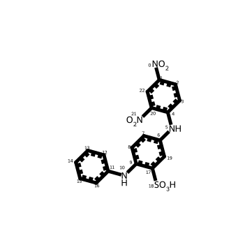 O=[N+]([O-])c1ccc(Nc2ccc(Nc3ccccc3)c(S(=O)(=O)O)c2)c([N+](=O)[O-])c1